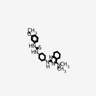 COc1cccc(NC(=S)N[C@H]2CC[C@@H](Nc3nc4c(c(N(C)C)n3)CCCC4)CC2)c1